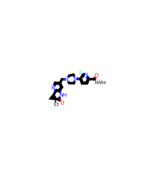 CC[C@@]12C=C1c1ncc(CN3CCN(c4ccc(C(=O)NC)nc4F)CC3)cc1NC2=O